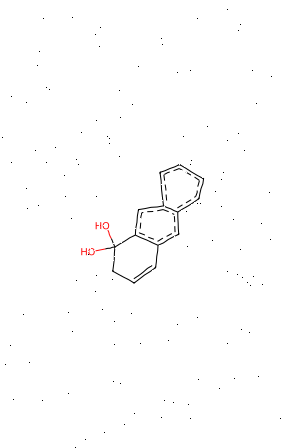 OC1(O)CC=Cc2cc3ccccc3cc21